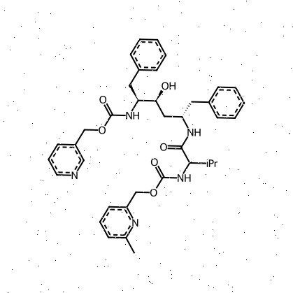 Cc1cccc(COC(=O)NC(C(=O)N[C@@H](Cc2ccccc2)C[C@H](O)[C@H](Cc2ccccc2)NC(=O)OCc2cccnc2)C(C)C)n1